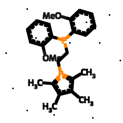 COc1ccccc1P(CCp1c(C)c(C)c(C)c1C)c1ccccc1OC